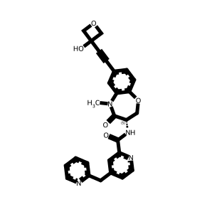 CN1C(=O)[C@@H](NC(=O)c2cc(Cc3ccccn3)ccn2)COc2ccc(C#CC3(O)COC3)cc21